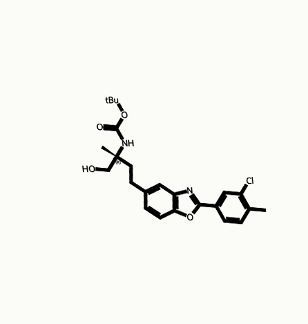 Cc1ccc(-c2nc3cc(CC[C@](C)(CO)NC(=O)OC(C)(C)C)ccc3o2)cc1Cl